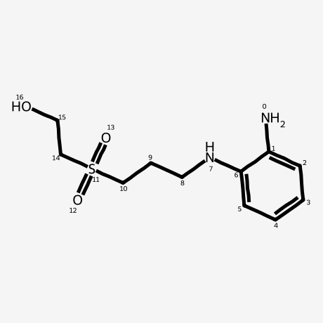 Nc1ccccc1NCCCS(=O)(=O)CCO